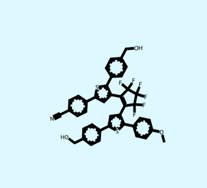 COc1ccc(-c2sc(-c3ccc(CO)cc3)cc2C2=C(c3cc(-c4ccc(C#N)cc4)sc3-c3ccc(CO)cc3)C(F)(F)C(F)(F)C2(F)F)cc1